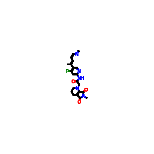 C=N/C=C\C=C(/C)c1cnc(NC(=O)CN2CCCC3=C2C(=O)N(C)C3=O)cc1F